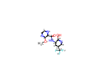 COc1nccnc1C(=O)Nc1cc(C(F)(F)F)cnc1O